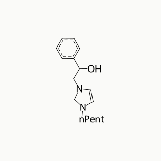 CCCCCN1C=CN(CC(O)c2ccccc2)C1